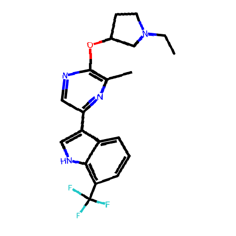 CCN1CCC(Oc2ncc(-c3c[nH]c4c(C(F)(F)F)cccc34)nc2C)C1